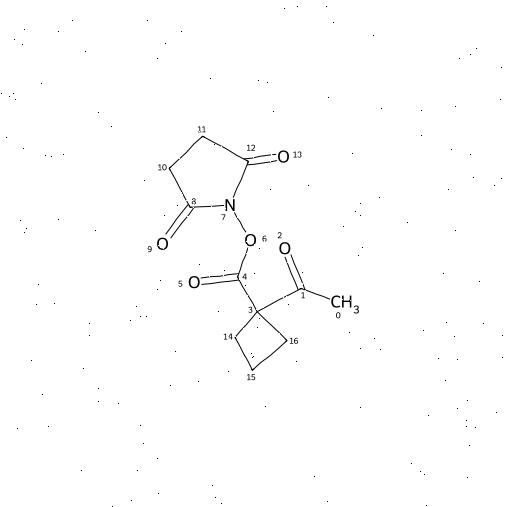 CC(=O)C1(C(=O)ON2C(=O)CCC2=O)CCC1